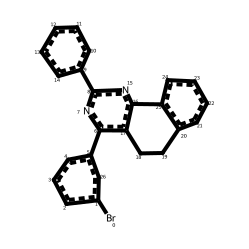 Brc1cccc(-c2nc(-c3ccccc3)nc3c2CCc2ccccc2-3)c1